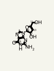 Nc1nc2c(ncn2[C@@H]2OC(CO)=C[C@H]2O)c(=O)[nH]1